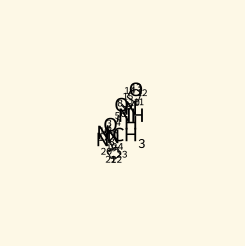 Cn1c(OCCNC(=O)NC2CCOCC2)nnc1-c1ccccc1